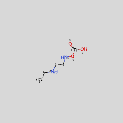 CCNCCN[O][Ti](=[O])[OH]